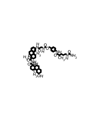 C[C@@H](CCCNC(N)=O)C(=O)Nc1ccc(COC(=O)NCC(=O)Nc2ccc3c(c2)[C@@]2(C)CCC[C@](C)(C(=O)NC(=O)[C@@]4(C)CCC[C@]5(C)C6CC(O)CCC6CC[C@@H]45)[C@@H]2CC3)cc1